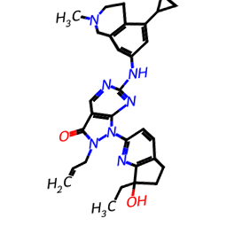 C=CCn1c(=O)c2cnc(Nc3cc4c(c(C5CC5)c3)CCN(C)C4)nc2n1-c1ccc2c(n1)C(O)(CC)CC2